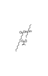 C=C(C)C(=O)OC.CCCCCCCCCCCC(=O)O.CCC[CH2][Sn][CH2]CCC